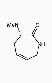 CN[C@H]1CC=CCNC1=O